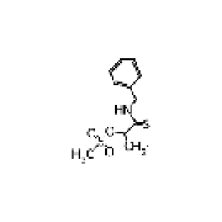 [CH2]C(OS(C)(=O)=O)C(=S)NCc1ccccc1